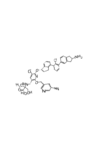 CC(CO)(NCc1cc(Cl)c(O[C@H]2CCc3c(-c4cccc(-c5ccc6c(c5)CC(N)C6)c4Cl)cccc32)nc1OCc1cncc(C#N)c1)C(=O)O